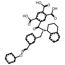 O=C(O)c1cc(C(=O)O)c(C(=O)N(Cc2cccc(C=NOc3ccccc3)c2)[C@H]2CCCc3ccccc32)cc1C(=O)O